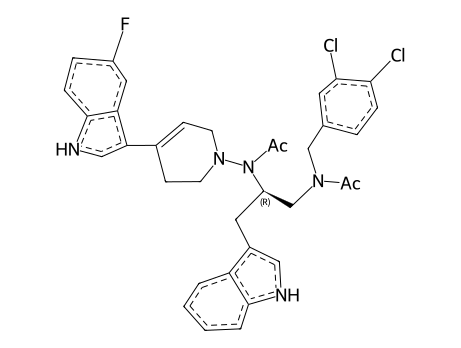 CC(=O)N(Cc1ccc(Cl)c(Cl)c1)C[C@@H](Cc1c[nH]c2ccccc12)N(C(C)=O)N1CC=C(c2c[nH]c3ccc(F)cc23)CC1